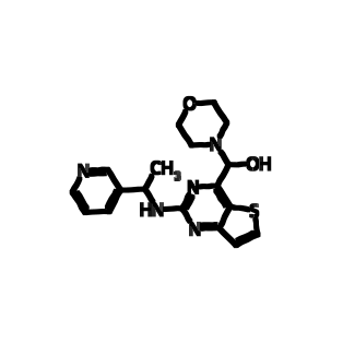 CC(Nc1nc(C(O)N2CCOCC2)c2sccc2n1)c1cccnc1